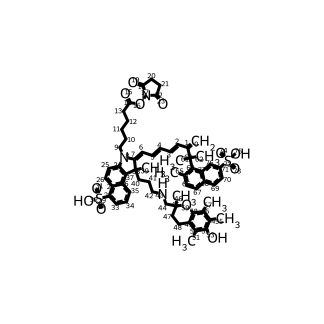 C=C(/C=C/C=C/C=C1/N(CCCCCC(=O)ON2C(=O)CCC2=O)c2ccc3c(S(=O)(=O)O)cccc3c2C1(C)CCCNCC1(C)CCc2c(C)c(O)c(C)c(C)c2O1)C(C)(C)c1c(C)ccc2ccc(S(=O)(=O)O)cc12